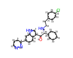 O=C(c1c[nH]c2cc(-c3cccnn3)ccc12)[C@H](NCCc1ccc(Cl)cc1)c1ccccc1